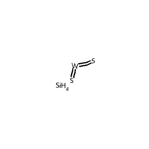 [S]=[W]=[S].[SiH4]